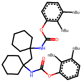 CCCCc1cccc(OC(=O)NC2(CC3(NC(=O)Oc4cccc(CCCC)c4CCCC)CCCCC3)CCCCC2)c1CCCC